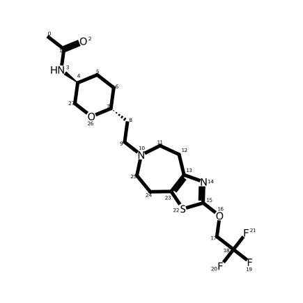 CC(=O)N[C@H]1CC[C@H](CCN2CCc3nc(OCC(F)(F)F)sc3CC2)OC1